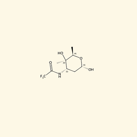 C[C@H]1O[C@H](O)C[C@H](NC(=O)C(F)(F)F)[C@@]1(C)O